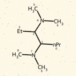 CCCC(C(CC)N(C)C)N(C)C